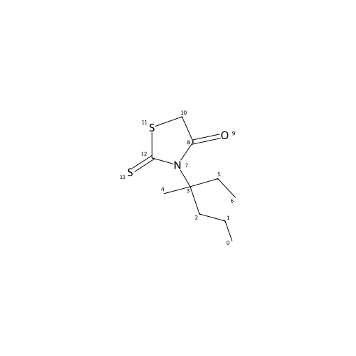 CCCC(C)(CC)N1C(=O)CSC1=S